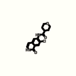 O=C(Nc1cc2cc[nH]c(=O)c2cc1Cl)C1CCOCC1